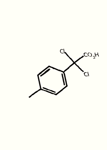 Cc1ccc(C(Cl)(Cl)C(=O)O)cc1